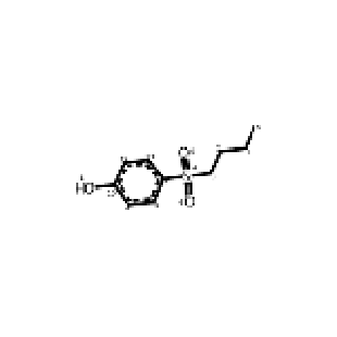 CCCCS(=O)(=O)c1ccc(O)cc1